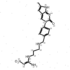 Cc1cc2cn(-c3ccc(CNCCCN/C(N)=N\[N+](=O)[O-])cc3)c(=O)nc2[nH]1